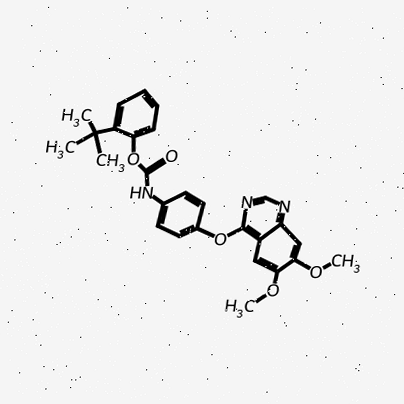 COc1cc2ncnc(Oc3ccc(NC(=O)Oc4ccccc4C(C)(C)C)cc3)c2cc1OC